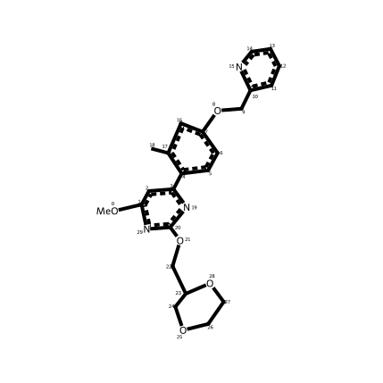 COc1cc(-c2ccc(OCc3ccccn3)cc2C)nc(OCC2COCCO2)n1